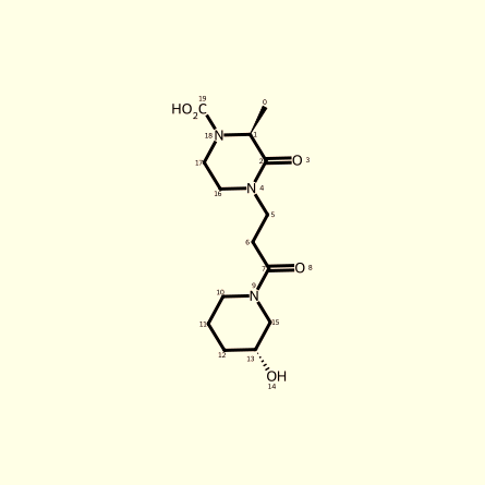 C[C@H]1C(=O)N(CCC(=O)N2CCC[C@@H](O)C2)CCN1C(=O)O